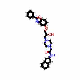 O=C(CN1CCN(C[C@@H](O)COc2ccc3oc(-c4ccccc4)nc3c2)CC1)NC1Cc2ccccc2C1